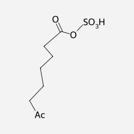 CC(=O)CCCCCC(=O)OS(=O)(=O)O